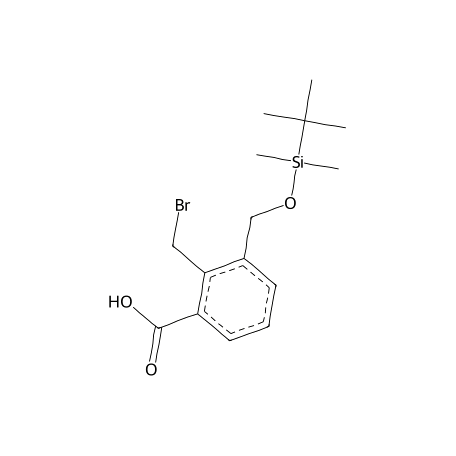 CC(C)(C)[Si](C)(C)OCc1cccc(C(=O)O)c1CBr